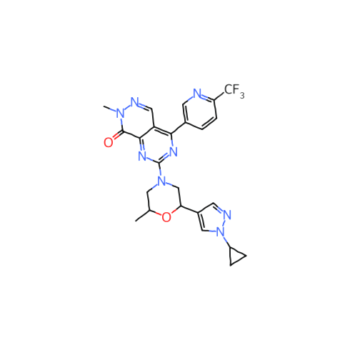 CC1CN(c2nc(-c3ccc(C(F)(F)F)nc3)c3cnn(C)c(=O)c3n2)CC(c2cnn(C3CC3)c2)O1